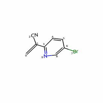 C=C(C#N)c1ccc(Br)cn1